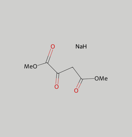 COC(=O)CC(=O)C(=O)OC.[NaH]